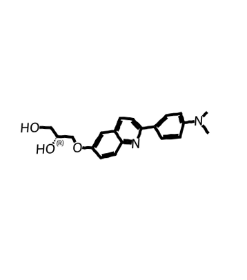 CN(C)c1ccc(-c2ccc3cc(OC[C@H](O)CO)ccc3n2)cc1